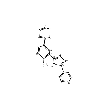 Nc1ncc(-c2ccncc2)nc1-c1nnc(-c2ccccc2)o1